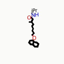 CC(/C=C/CCCCOc1cccc2ccccc12)=C\C(=O)NCC(C)C